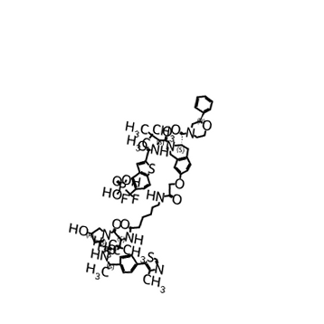 Cc1ncsc1-c1ccc([C@H](C)NC(=O)[C@@H]2C[C@@H](O)CN2C(=O)[C@@H](NC(=O)CCCCCNC(=O)COc2ccc3c(c2)CN(C(=O)[C@@H](NC(=O)c2cc4cc(C(F)(F)P(=O)(O)O)ccc4s2)C(C)(C)C)[C@H](C(=O)N2CCO[C@H](c4ccccc4)C2)C3)C(C)(C)C)cc1